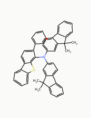 CC1(C)c2ccccc2-c2ccc(N(c3ccc4c(c3)C(C)(C)c3ccccc3-4)c3c(-c4ccccc4)ccc4c3sc3ccccc34)cc21